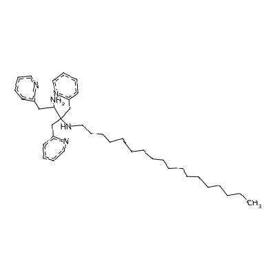 CCCCCCCCCCCCCCCCCCNC(Cc1ccccn1)(Cc1ccccn1)C(N)Cc1ccccn1